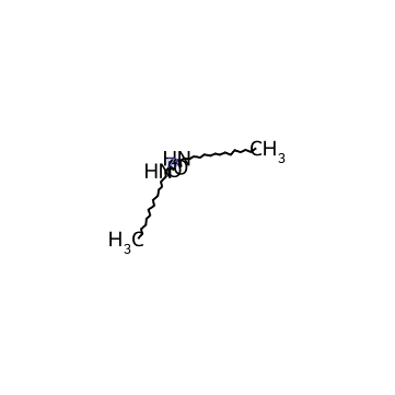 CCCCCCCCCCCCCCNC(=O)/C=C\C(=O)NCCCCCCCCCCCCCC